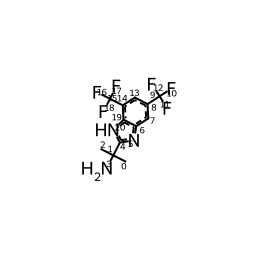 CC(C)(N)c1nc2cc(C(F)(F)F)cc(C(F)(F)F)c2[nH]1